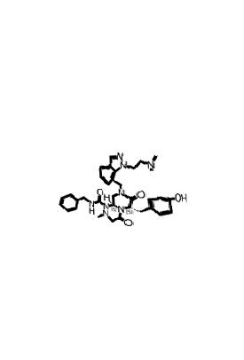 CN(C)CCn1ncc2cccc(CN3C[C@H]4N(C(=O)CN(C)N4C(=O)NCc4ccccc4)[C@@H](Cc4ccc(O)cc4)C3=O)c21